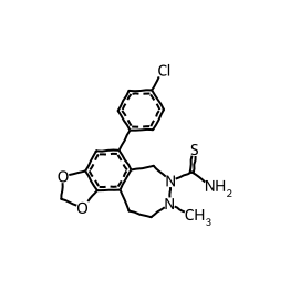 CN1CCc2c(c(-c3ccc(Cl)cc3)cc3c2OCO3)CN1C(N)=S